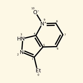 CCc1n[nH]c2c1ccc[n+]2[O-]